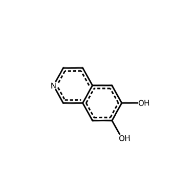 Oc1cc2ccncc2cc1O